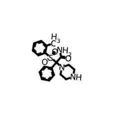 Cc1ccccc1S(=O)(=O)C(C(N)=O)(c1ccccc1)N1CCNCC1